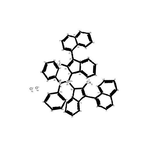 CC1=C(c2cccc3ccccc23)c2ccccc2[CH]1[Zr+2]([CH]1C(C)=C(c2cccc3ccccc23)c2ccccc21)[SiH](c1ccccc1)c1ccccc1.[Cl-].[Cl-]